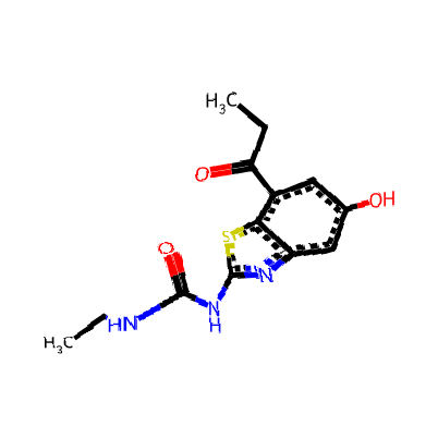 CCNC(=O)Nc1nc2cc(O)cc(C(=O)CC)c2s1